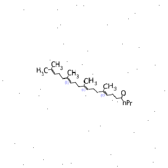 CCCC(=O)CC/C=C(\C)CC/C=C(\C)CC/C=C(\C)CCC=C(C)C